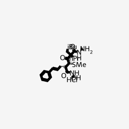 CCCC(CC(C)CC)(C(=O)NN)C(=O)[C@H](SC)[C@@H](CC=Cc1ccccc1)C(=O)NO.Cl